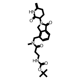 C=C1CCC(N2Cc3c(CN(C)C(=O)CCNC(=O)OC(C)(C)C)cccc3C2=O)C(=O)N1